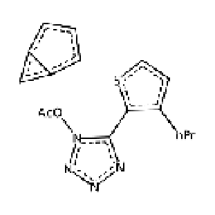 CCCc1ccsc1-c1nnnn1OC(C)=O.c1cc2cc-2c1